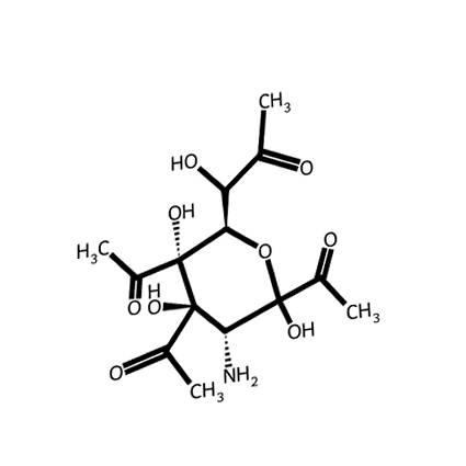 CC(=O)C(O)[C@H]1OC(O)(C(C)=O)[C@H](N)[C@](O)(C(C)=O)[C@@]1(O)C(C)=O